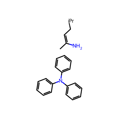 CC(N)=CCC(C)C.c1ccc(N(c2ccccc2)c2ccccc2)cc1